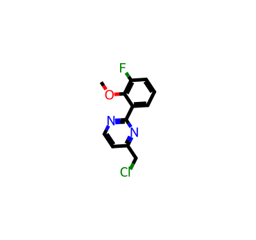 COc1c(F)cccc1-c1nccc(CCl)n1